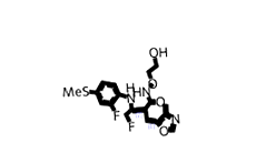 C=c1nco/c1=C/C(C(=O)NOCCO)=C(\CF)Nc1ccc(SC)cc1F